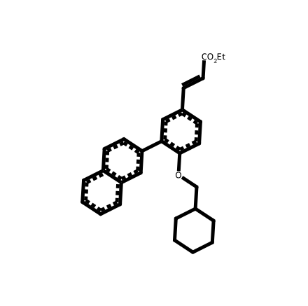 CCOC(=O)C=Cc1ccc(OCC2CCCCC2)c(-c2ccc3ccccc3c2)c1